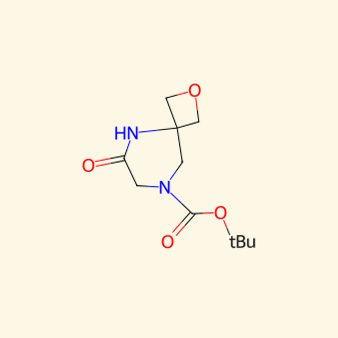 CC(C)(C)OC(=O)N1CC(=O)NC2(COC2)C1